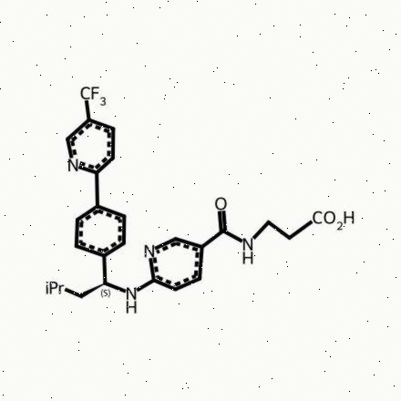 CC(C)C[C@H](Nc1ccc(C(=O)NCCC(=O)O)cn1)c1ccc(-c2ccc(C(F)(F)F)cn2)cc1